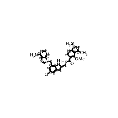 COc1c(C(=O)NCc2cc3cc(Cl)cc(Cn4cnc5c(N)ncnc54)c3[nH]2)cnc2c1c(C)nn2C